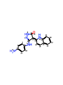 Nc1ccc(NC2=NNC(=O)C2=C2C=Cc3ccccc3N2)cc1